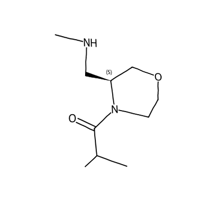 CNC[C@H]1COCCN1C(=O)C(C)C